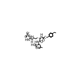 CCc1ccc(CCC(=O)N[C@@H](CCCNC(=N)N[N+](=O)[O-])C(=O)N[C@@H](CC(C)C)B(O)O)cc1